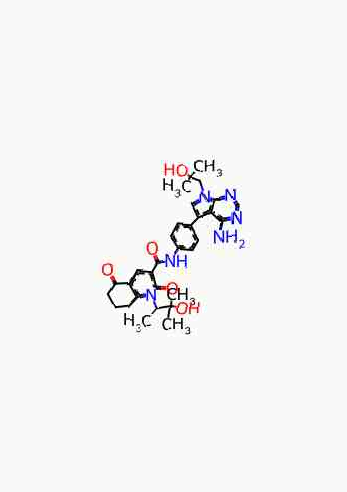 CC(n1c2c(cc(C(=O)Nc3ccc(-c4cn(CC(C)(C)O)c5ncnc(N)c45)cc3)c1=O)C(=O)CCC2)C(C)(C)O